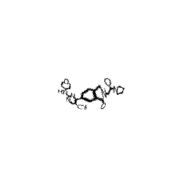 O=C(CN1Cc2ccc(-c3nc(NC4CCOCC4)ncc3Cl)cc2C1=O)N1CCCC1